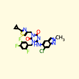 Cn1cc2cc(Nc3nc(=O)n(Cc4csc(C5CC5)n4)c(=O)n3Cc3cc(F)c(F)cc3F)c(Cl)cc2n1